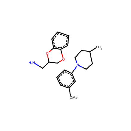 COc1cccc(N2CCC(C)CC2)c1.NCC1COc2ccccc2O1